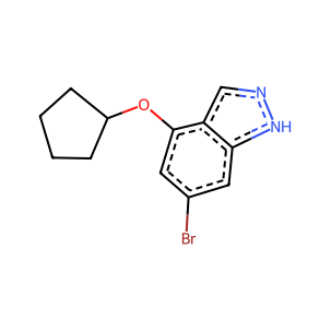 Brc1cc(OC2CCCC2)c2cn[nH]c2c1